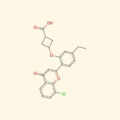 CCc1ccc(-c2cc(=O)c3cccc(Cl)c3o2)c(OC2CC(C(=O)O)C2)c1